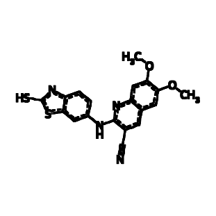 COc1cc2cc(C#N)c(Nc3ccc4nc(S)sc4c3)nc2cc1OC